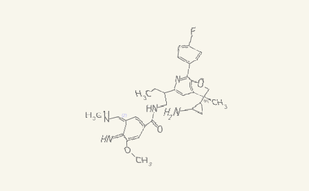 CCC(CNC(=O)C1=C/C(=C/NC)C(=N)C(OC)=C1)c1cc2c(c(-c3ccc(F)cc3)n1)OC[C@]2(C)C1CC1N